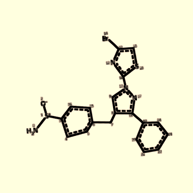 N[S+]([O-])c1ccc(Cc2cn(-c3nc(Br)cs3)nc2-c2ccccc2)cc1